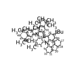 Cc1cc2c3c(c1)N(c1cccc4c1-c1ccccc1C4)c1ccc(C(C)(C)C)cc1B3c1cc3c(cc1N2c1cc2c(cc1C)C(C)(C)CCC2(C)C)C(C)(C)CC3(C)C